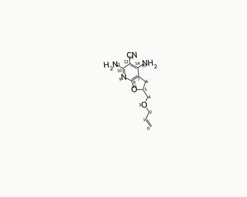 C=CCOCC1Cc2c(nc(N)c(C#N)c2N)O1